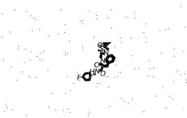 CS(=O)(=O)C1(CN2CCn3c(=O)c(C(=O)NC[C@H]4CC[C@@H](F)CC4)cc4cccc2c43)CC1